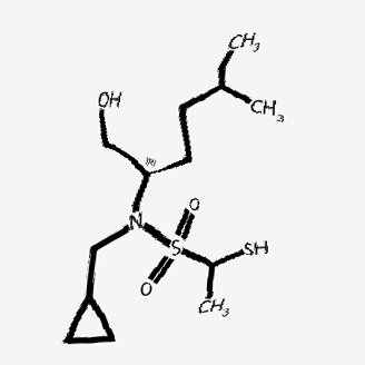 CC(C)CC[C@H](CO)N(CC1CC1)S(=O)(=O)C(C)S